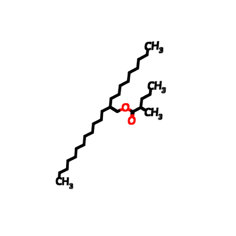 CCCCCCCCCCCCC(CCCCCCCCC)COC(=O)C(C)CCC